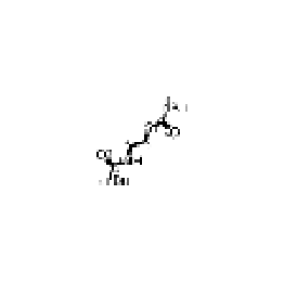 CCCCC(=O)NCCSC(=O)CCCC